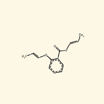 CC=COC(=O)c1ccccc1OC=CC